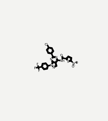 O=C(Nc1nc(-c2ccc(Cl)cc2)nc2c1cnn2-c1ccc(C(F)(F)F)cc1)c1ccc([N+](=O)[O-])s1